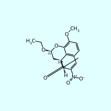 CCO[C@@H]1C[C@]23C=CC(=O)C[C@H]2C([N+](=O)[O-])=Cc2ccc(OC)c(c23)O1